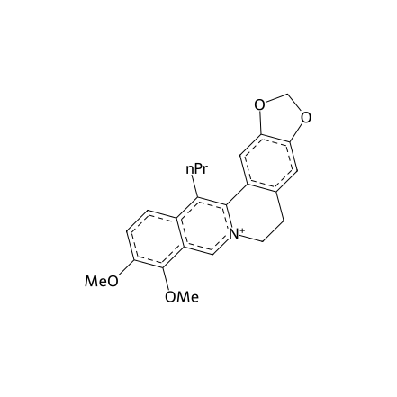 CCCc1c2[n+](cc3c(OC)c(OC)ccc13)CCc1cc3c(cc1-2)OCO3